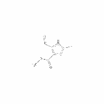 COC(=O)c1cc(F)[nH]c1C=O